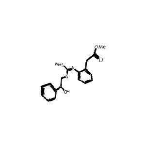 COC(=O)Cc1ccccc1N=C(SC)SCC(O)c1ccccc1